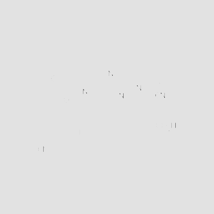 N#CC1(Cn2c(CN3CCc4cc(Cl)c(OCc5ccc(Cl)cc5F)nc4C3)nc3ccc(C(=O)O)cc32)CC1